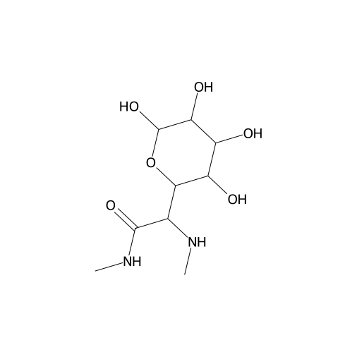 CNC(=O)C(NC)C1OC(O)C(O)C(O)C1O